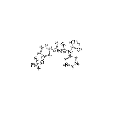 CC(=O)N(c1cncnc1)c1nc(-c2cccc(OC(F)(F)F)c2)cs1